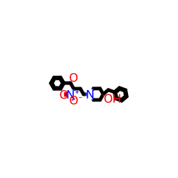 O=C(c1ccccc1)C(CCN1CCC(O)(Cc2ccccc2)CC1)[N+](=O)[O-]